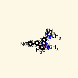 Cc1nc(C)nc(-c2ccc(-n3c4ccccc4c4cc(-c5ccc(C#N)cc5)ccc43)c(-c3nc(C)nc(C)n3)c2)n1